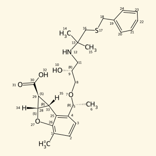 Cc1ccc([C@@H](C)OC[C@H](O)CNC(C)(C)CSCc2ccccc2)c2c1O[C@@H]1[C@@H](C(=O)O)[C@H]21